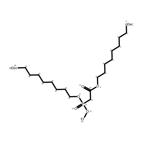 CCCCCCCCCCCCCCCCCCOC(=O)CP(=O)(OCC)OCCCCCCCCCCCCCCCCCC